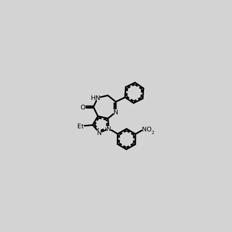 CCc1nn(-c2cccc([N+](=O)[O-])c2)c2c1C(=O)NCC(c1ccccc1)=N2